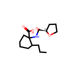 CCCC1CCCCC1(NC(=O)[C@H]1CCCO1)C(=O)O